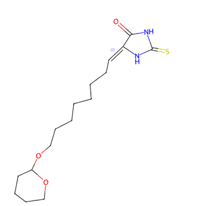 O=C1NC(=S)N/C1=C\CCCCCCCOC1CCCCO1